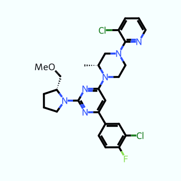 COC[C@H]1CCCN1c1nc(-c2ccc(F)c(Cl)c2)cc(N2CCN(c3ncccc3Cl)C[C@H]2C)n1